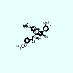 COc1cccc(C(=O)Cn2cnc3c(C#N)c(N4CCC[C@H](N)C4)n(Cc4ccccn4)c3c2=O)c1.Cl.Cl